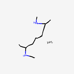 CNC(C)CCCC(C)NC.[InH3]